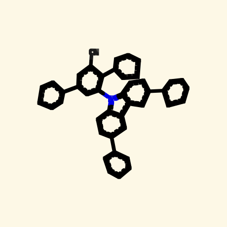 N#Cc1cc(-c2ccccc2)cc(-n2c3ccc(-c4ccccc4)cc3c3cc(-c4ccccc4)ccc32)c1-c1ccccc1